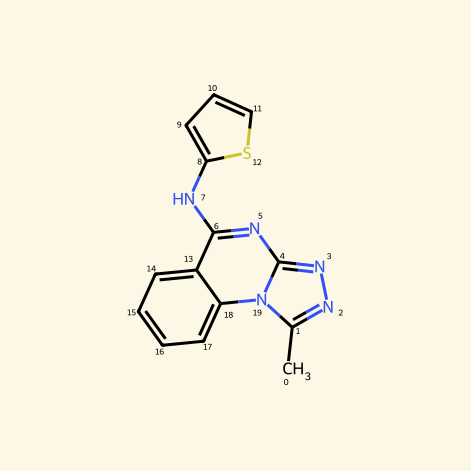 Cc1nnc2nc(Nc3cccs3)c3ccccc3n12